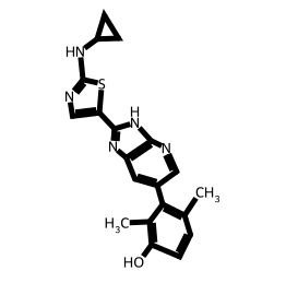 Cc1ccc(O)c(C)c1-c1cnc2[nH]c(-c3cnc(NC4CC4)s3)nc2c1